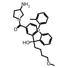 COCCCC[C@](O)(c1cccc(C(=O)N2CCC(N)C2)c1)c1ccccc1Oc1ccccc1C